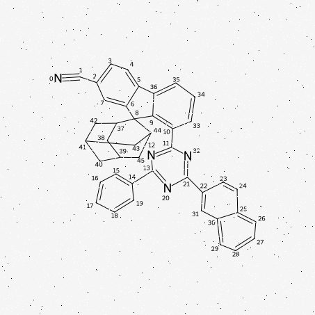 N#Cc1ccc2c(c1)C1(c3c(-c4nc(-c5ccccc5)nc(-c5ccc6ccccc6c5)n4)cccc3-2)C2CC3CC(C2)CC1C3